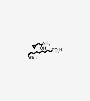 CCCCCCCC/C=C\CCCCCCCC(=O)O.NC(O)CC1CC1